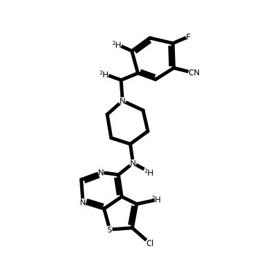 [2H]c1cc(F)c(C#N)cc1C([2H])N1CCC(N([2H])c2ncnc3sc(Cl)c([2H])c23)CC1